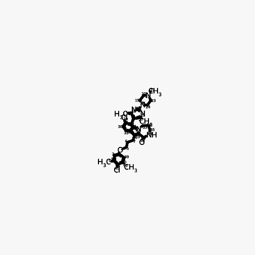 Cc1cc(OCCCc2c3n(c4c(-c5c(C)nc(N6CCN(C)CC6)nc5C)c(Cl)ccc24)CCCNC3=O)cc(C)c1Cl